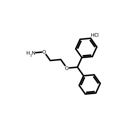 Cl.NOCCOC(c1ccccc1)c1ccccc1